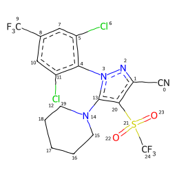 N#Cc1nn(-c2c(Cl)cc(C(F)(F)F)cc2Cl)c(N2CCCCC2)c1S(=O)(=O)C(F)(F)F